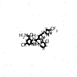 NC(=O)c1cc(Cl)cc(Br)c1NC(=O)c1cc(Cn2cc(C(F)(F)F)nn2)nn1-c1ncccc1Cl